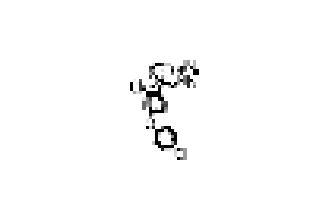 Clc1ccc(Oc2ccc(C3(Cn4cncn4)OCCO3)c(Cl)n2)cc1